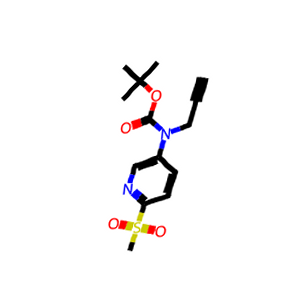 C#CCN(C(=O)OC(C)(C)C)c1ccc(S(C)(=O)=O)nc1